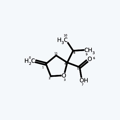 C=C1COC(C(=O)O)(C(C)C)C1